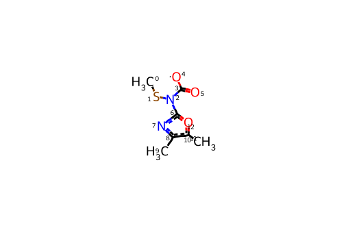 CSN(C([O])=O)c1nc(C)c(C)o1